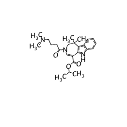 CC(C)OC(=O)C1=CN(C(=O)CCCN(C)C)CC(C)(C)c2c1[nH]c1ccccc21